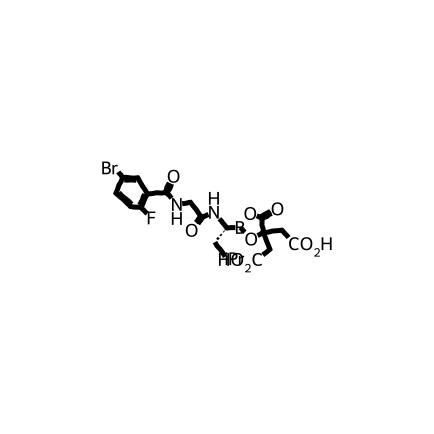 CC(C)C[C@H](NC(=O)CNC(=O)c1cc(Br)ccc1F)B1OC(=O)C(CC(=O)O)(CC(=O)O)O1